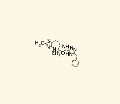 Cc1nc2c(s1)CC[C@@H](NC(=O)c1nnc(Cc3ccccc3)[nH]1)C(=O)N2C